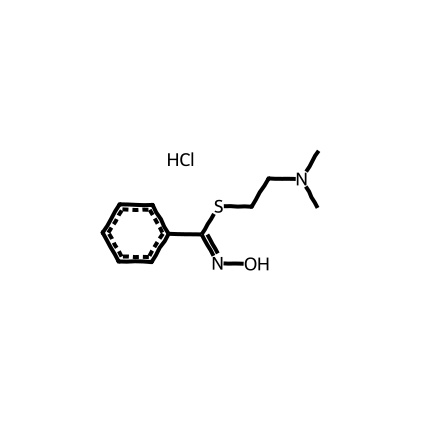 CN(C)CCSC(=NO)c1ccccc1.Cl